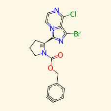 O=C(OCc1cc#ccc1)N1CCC[C@H]1c1nc(Br)c2c(Cl)nccn12